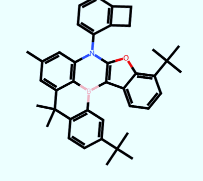 Cc1cc2c3c(c1)C(C)(C)c1ccc(C(C)(C)C)cc1B3c1c(oc3c(C(C)(C)C)cccc13)N2c1cccc2c1CC2